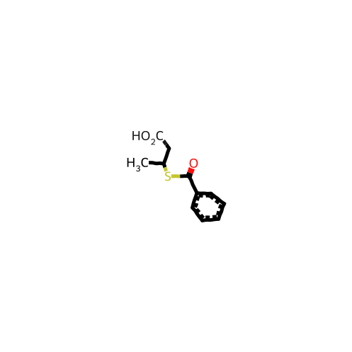 CC(CC(=O)O)SC(=O)c1ccccc1